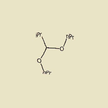 CCCOC(OCCC)C(C)C